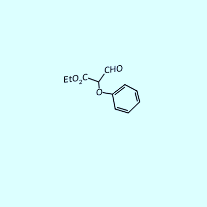 CCOC(=O)C(C=O)Oc1ccccc1